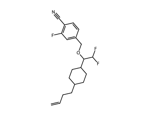 C=CCCC1CCC(C(OCc2ccc(C#N)c(F)c2)C(F)F)CC1